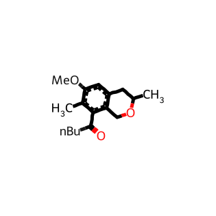 CCCCC(=O)c1c(C)c(OC)cc2c1COC(C)C2